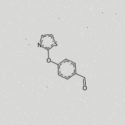 O=Cc1ccc(Oc2nccs2)cc1